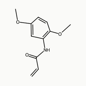 C=CC(=O)Nc1cc(OC)ccc1OC